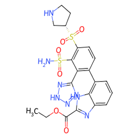 CCOC(=O)c1nc2cccc(-c3ccc(S(=O)(=O)[C@H]4CCNC4)c(S(N)(=O)=O)c3-c3nn[nH]n3)c2[nH]1